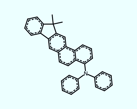 CC1(C)c2ccccc2-c2cc3ccc4c(N(c5ccccc5)c5ccccc5)cccc4c3cc21